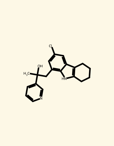 CC(O)(Cc1cc(Cl)cc2c3c([nH]c12)CCCC3)c1cccnc1